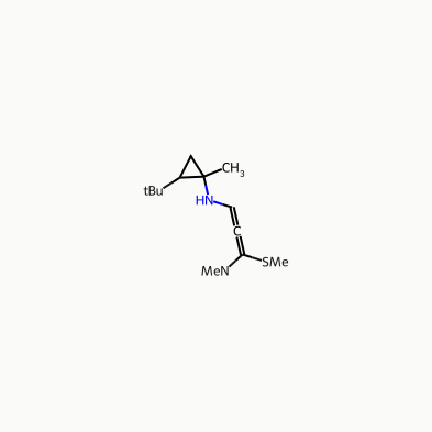 CNC(=C=CNC1(C)CC1C(C)(C)C)SC